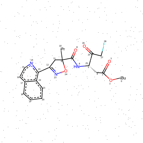 CCC(C)OC(=O)C[C@H](NC(=O)C1(C(C)C)CC(c2nccc3ccccc23)=NO1)C(=O)CF